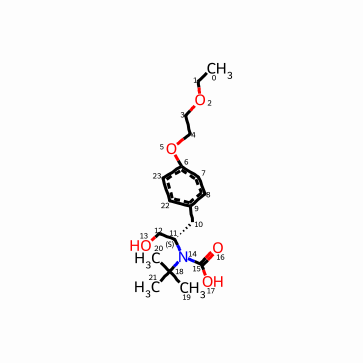 CCOCCOc1ccc(C[C@@H](CO)N(C(=O)O)C(C)(C)C)cc1